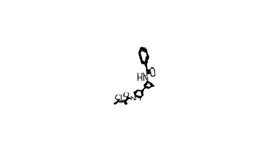 C/C(Cl)=C(\C)C(=O)Nc1ccc(-c2cccc(NC(=O)c3ccccc3)c2)cc1